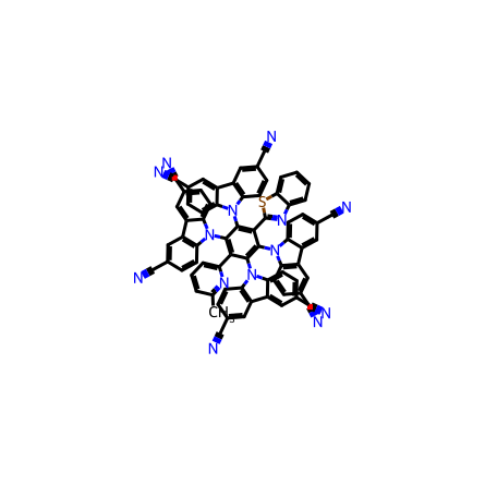 Cc1cccc(-c2c(-n3c4ccc(C#N)cc4c4cc(C#N)ccc43)c(-n3c4ccc(C#N)cc4c4cc(C#N)ccc43)c(-c3nc4ccccc4s3)c(-n3c4ccc(C#N)cc4c4cc(C#N)ccc43)c2-n2c3ccc(C#N)cc3c3cc(C#N)ccc32)n1